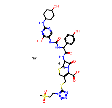 CS(=O)(=O)CCn1nnnc1SCC1=C(C(=O)[O-])N2C(=O)C(NC(=O)C(NC(=O)Nc3cnc(NC4CCC(O)CC4)nc3O)c3ccc(O)cc3)[C@@H]2SC1.[Na+]